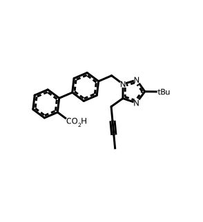 CC#CCc1nc(C(C)(C)C)nn1Cc1ccc(-c2ccccc2C(=O)O)cc1